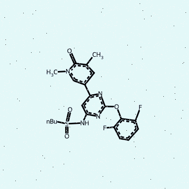 CCCCS(=O)(=O)Nc1cc(-c2cc(C)c(=O)n(C)c2)nc(Oc2c(F)cccc2F)n1